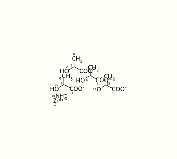 CC(O)C(=O)[O-].CC(O)C(=O)[O-].CC(O)C(=O)[O-].CC([O-])C(=O)[O-].[NH4+].[Zr+4]